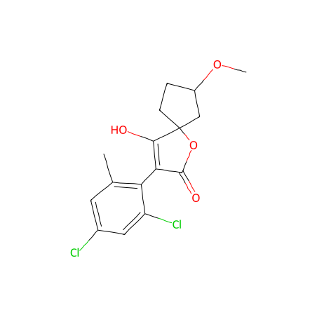 COC1CCC2(C1)OC(=O)C(c1c(C)cc(Cl)cc1Cl)=C2O